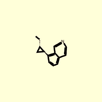 CC[C@H]1C[C@@H]1c1cccc2ccncc12